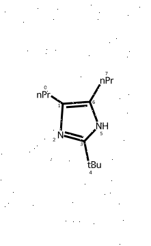 CCCc1nc(C(C)(C)C)[nH]c1CCC